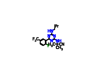 CC(C)CNc1nc(NC(C)(C)C#N)nc(-c2cc(C(F)(F)F)ccc2F)n1